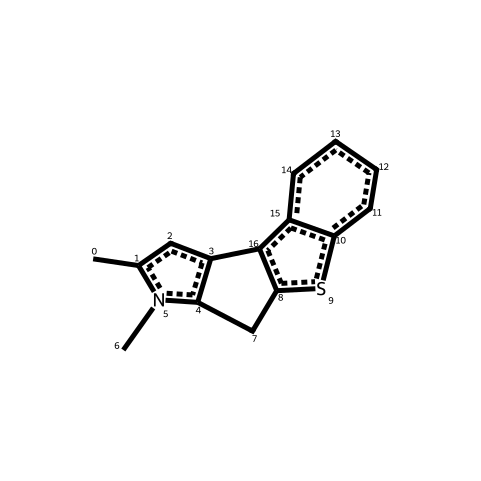 Cc1cc2c(n1C)Cc1sc3ccccc3c1-2